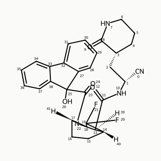 N#C[C@@H](C[C@H]1CCCNC1=O)NC(=O)[C@H]1[C@@H]2CC[C@@H](CC2(F)F)N1C(=O)C1(O)c2ccccc2-c2ccccc21